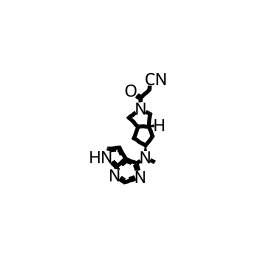 CN(c1ncnc2[nH]ccc12)[C@H]1CC2CN(C(=O)CC#N)C[C@@H]2C1